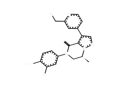 C[C@H]1CN(c2ccc(C(F)(F)F)c(Cl)c2)C(=O)c2c(-c3ccnc(CF)c3)cnn21